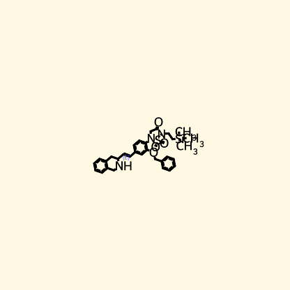 C[Si](C)(C)CCN1C(=O)CN(c2ccc(/C=C/C3Cc4ccccc4CN3)cc2OCc2ccccc2)S1(=O)=O